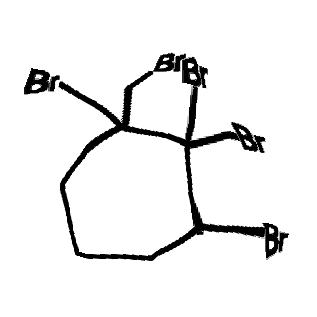 Br[C]1CCCC(Br)(Br)C1(Br)Br